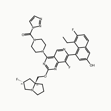 CCc1c(F)ccc2cc(O)cc(-c3ncc4c(N5CCN(C(=O)n6ccnn6)CC5)nc(OC[C@@]56CCCN5C[C@H](F)C6)nc4c3F)c12